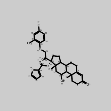 CC12CCC(=O)C=C1CCC1C2[C@@H](O)CC2(C)C1CC[C@]2(OC(=O)c1ccco1)C(=O)COc1ccc(Cl)cc1Cl